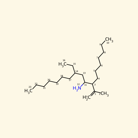 C=C(C)C(CCCCCCC)C(N)CC(CC)CCCCCCC